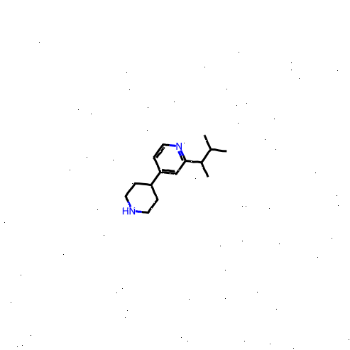 CC(C)C(C)c1cc(C2CCNCC2)ccn1